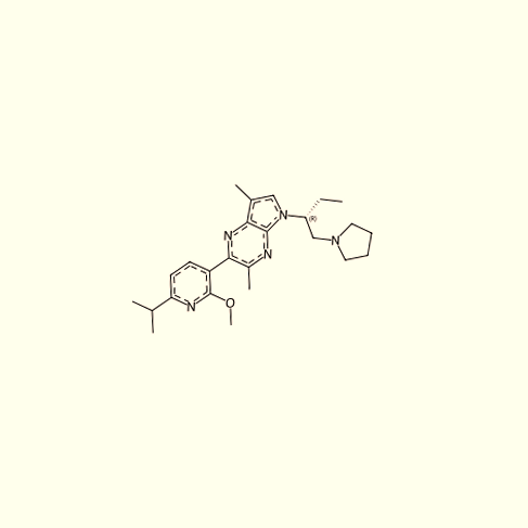 CC[C@H](CN1CCCC1)n1cc(C)c2nc(-c3ccc(C(C)C)nc3OC)c(C)nc21